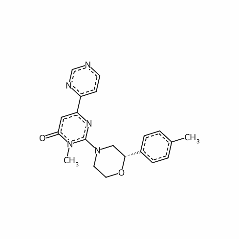 Cc1ccc([C@H]2CN(c3nc(-c4ccncn4)cc(=O)n3C)CCO2)cc1